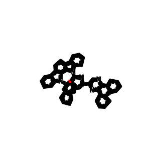 c1ccc(-c2cc(-c3cnc4c5ccccc5c5ccccc5c4n3)nc(-n3c4ccccc4c4ccc5c6ccccc6n(-c6ccccc6)c5c43)c2)cc1